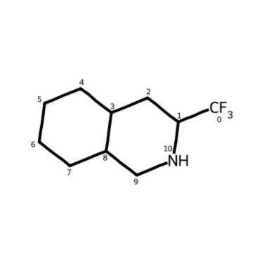 FC(F)(F)C1CC2CCCCC2CN1